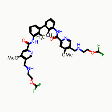 COc1cc(C(=O)Nc2cccc(-c3cccc(NC(=O)c4cc(OC)c(CNCCOC(F)F)cn4)c3C)c2C)ncc1CNCCOC(F)F